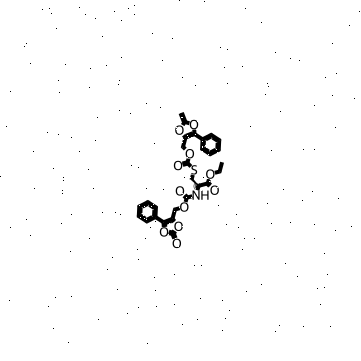 C=C1OC(COC(=O)SC[C@H](NC(=O)OCc2oc(=O)oc2-c2ccccc2)C(=O)OCC)=C(c2ccccc2)O1